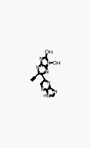 C#Cc1nc2nc(O)n(O)c2nc1-c1cnc2[nH]cnc2n1